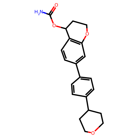 NC(=O)OC1CCOc2cc(-c3ccc(C4CCOCC4)cc3)ccc21